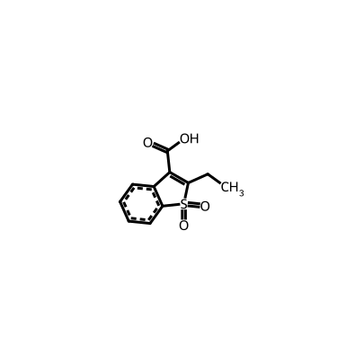 CCC1=C(C(=O)O)c2ccccc2S1(=O)=O